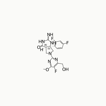 COc1nc(N2C[C@H]3C(=O)NC(=N)N[C@@]3(c3ccc(F)cc3F)C2)nc(CO)c1F